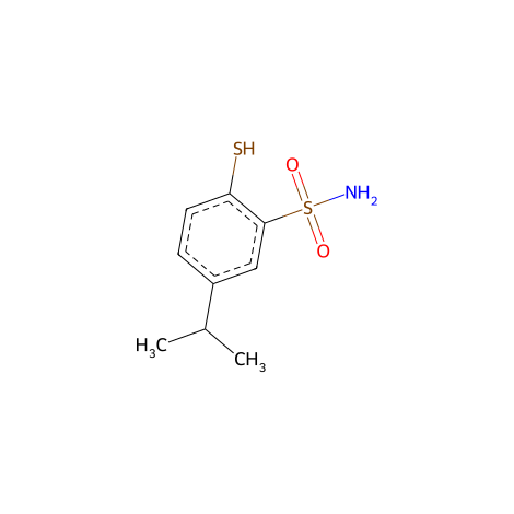 CC(C)c1ccc(S)c(S(N)(=O)=O)c1